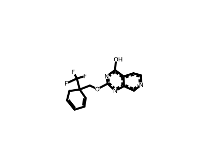 Oc1nc(OCC2(C(F)(F)F)C=CC=CC2)nc2cnccc12